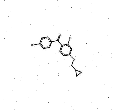 O=C(c1ccc(Br)cc1)c1ccc(OCC2CC2)cc1F